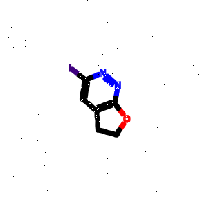 Ic1cc2c(nn1)OCC2